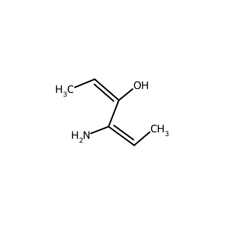 C/C=C(N)\C(O)=C/C